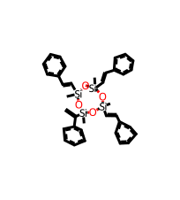 C=C(c1ccccc1)[Si]1(C)O[Si](C)(/C=C/c2ccccc2)O[Si](C)(/C=C/c2ccccc2)O[Si](C)(/C=C/c2ccccc2)O1